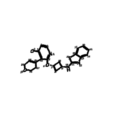 Clc1ccnc(O[C@H]2C[C@H](Nc3nc4ccccc4s3)C2)c1C1=CCOCC1